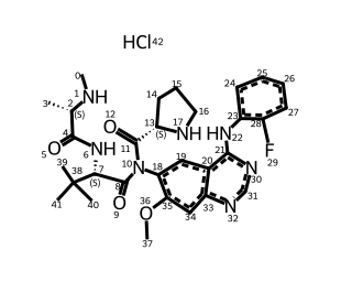 CN[C@@H](C)C(=O)N[C@H](C(=O)N(C(=O)[C@@H]1CCCN1)c1cc2c(Nc3ccccc3F)ncnc2cc1OC)C(C)(C)C.Cl